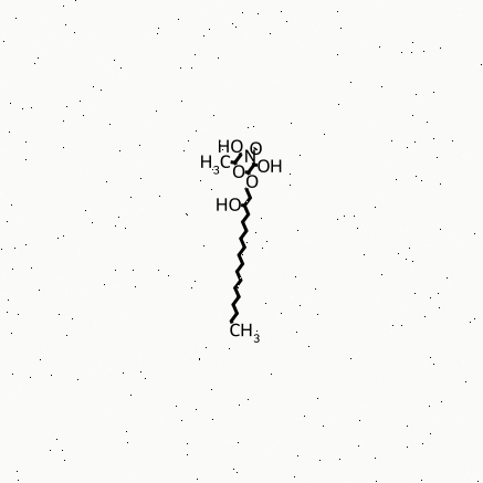 CCCCCCCCCCCCCCCC(O)CCOC(OC(C)CO)C(O)N=O